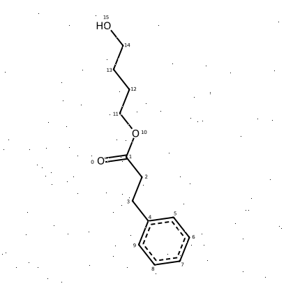 O=C(CCc1ccccc1)OCCCCO